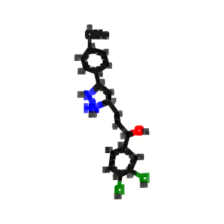 COc1ccc(-c2cc(C=CC(=O)c3ccc(Cl)c(Cl)c3)[nH]n2)cc1